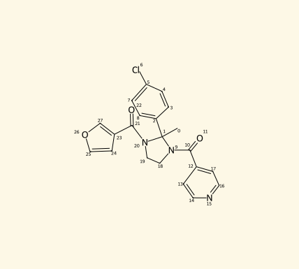 CC1(c2ccc(Cl)cc2)N(C(=O)c2ccncc2)CCN1C(=O)c1ccoc1